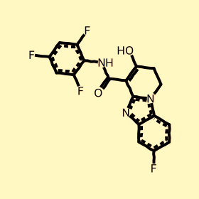 O=C(Nc1c(F)cc(F)cc1F)C1=C(O)CCn2c1nc1cc(F)ccc12